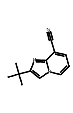 CC(C)(C)c1cn2cccc(C#N)c2n1